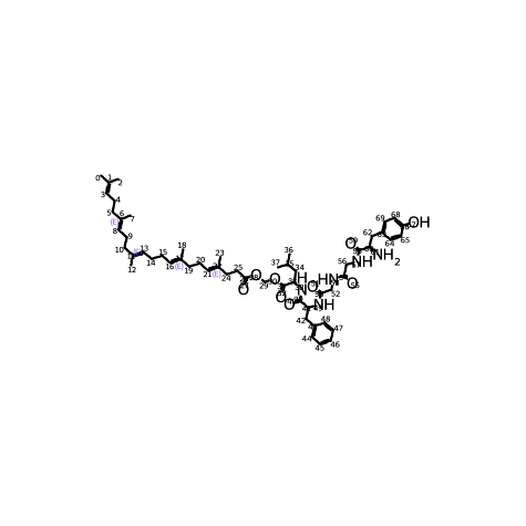 CC(C)=CCC/C(C)=C/CC/C(C)=C/CC/C=C(\C)CC/C=C(\C)CCC(=O)OCOC(=O)C(CC(C)C)NC(=O)C(Cc1ccccc1)NC(=O)CNC(=O)CNC(=O)C(N)Cc1ccc(O)cc1